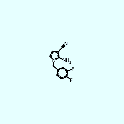 N#Cc1ccn(Cc2ccc(F)c(F)c2)c1N